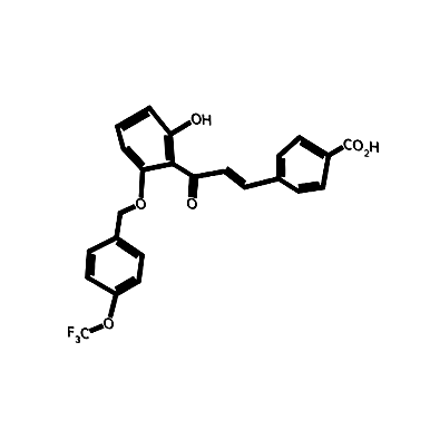 O=C(O)c1ccc(/C=C/C(=O)c2c(O)cccc2OCc2ccc(OC(F)(F)F)cc2)cc1